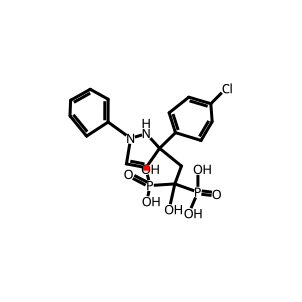 O=P(O)(O)C(O)(CC1(c2ccc(Cl)cc2)C=CN(c2ccccc2)N1)P(=O)(O)O